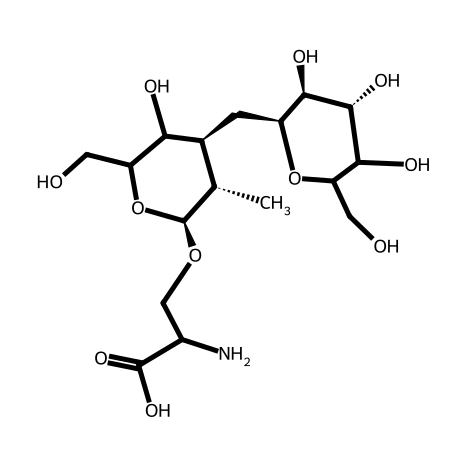 C[C@@H]1[C@@H](OCC(N)C(=O)O)OC(CO)C(O)[C@H]1C[C@@H]1OC(CO)C(O)[C@@H](O)[C@@H]1O